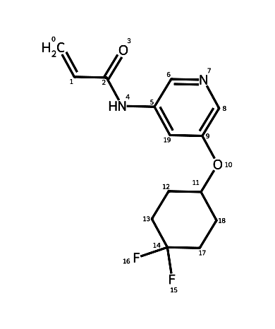 C=CC(=O)Nc1cncc(OC2CCC(F)(F)CC2)c1